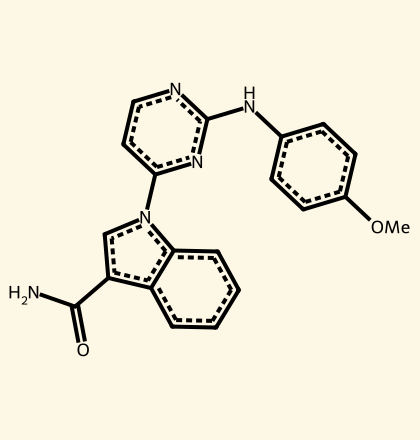 COc1ccc(Nc2nccc(-n3cc(C(N)=O)c4ccccc43)n2)cc1